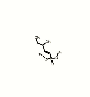 CC(C)OP(=O)(C=CC(O)CO)OC(C)C